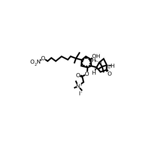 CC(C)(CCCCCCO[N+](=O)[O-])c1cc(O)c([C@H]2CC(=O)[C@H]3C[C@H]2C3(C)C)c(OC(=O)C[N+](C)(C)C)c1.[I-]